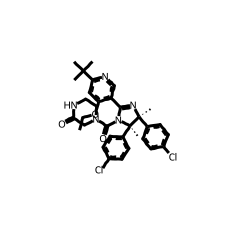 CCOc1cc(C(C)(C)C)ncc1C1=N[C@@](C)(c2ccc(Cl)cc2)[C@@](C)(c2ccc(Cl)cc2)N1C(=O)N1CCNC(=O)C1